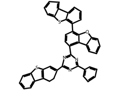 C1=C(c2nc(-c3ccccc3)nc(-c3ccc(-c4cccc5c4sc4ccccc45)c4oc5ccccc5c34)n2)CCc2c1sc1ccccc21